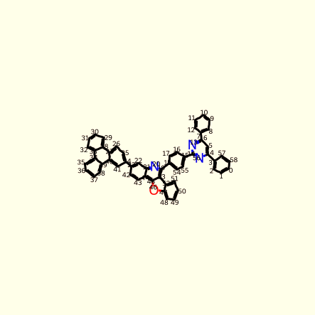 c1ccc(-c2cc(-c3ccccc3)nc(-c3ccc(-c4nc5cc(-c6ccc7c8ccccc8c8ccccc8c7c6)ccc5c5oc6ccccc6c45)cc3)n2)cc1